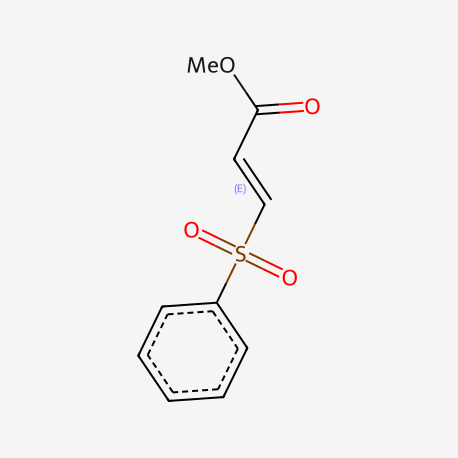 COC(=O)/C=C/S(=O)(=O)c1ccccc1